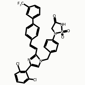 O=C1CN(c2ccc(Cn3cc(-c4c(Cl)cccc4Cl)nc3C=Cc3ccc(-c4cccc(C(F)(F)F)c4)cc3)cc2)S(=O)(=O)N1